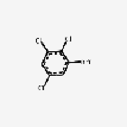 C[CH]Cc1cc(Cl)cc(Cl)c1Cl